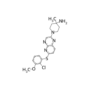 COc1cccc(Sc2ccc3nc(N4CCC(C)(N)CC4)cnc3n2)c1Cl